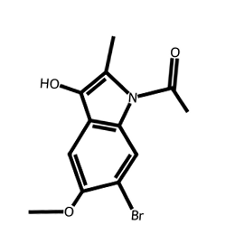 COc1cc2c(O)c(C)n(C(C)=O)c2cc1Br